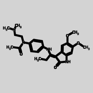 CCC(Nc1ccc(N(CCN(C)C)C(C)=O)cc1)=C1C(=O)Nc2cc(OC)c(OC)cc21